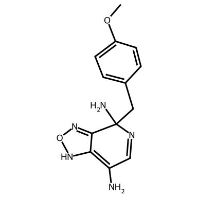 COc1ccc(CC2(N)N=CC(N)=C3NON=C32)cc1